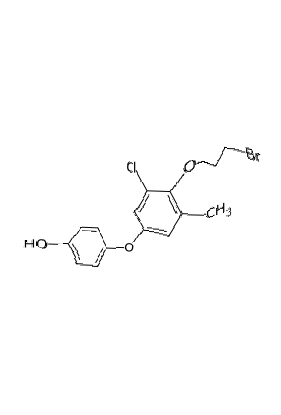 Cc1cc(Oc2ccc(O)cc2)cc(Cl)c1OCCBr